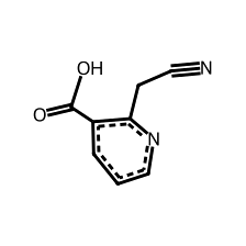 N#CCc1ncccc1C(=O)O